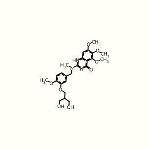 COc1ccc(CN(C)c2nc(=O)c3c(OC)c(OC)c(OC)cc3[nH]2)cc1OCC(CO)CO